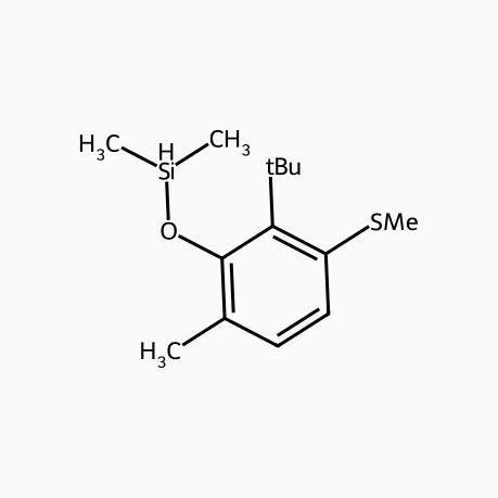 CSc1ccc(C)c(O[SiH](C)C)c1C(C)(C)C